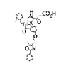 Cc1ccccc1CNC(=O)c1cc(OCCc2nc(-c3ccccc3)oc2C)ccc1C1CCN[C@@H]1C(=O)CCC(=O)O